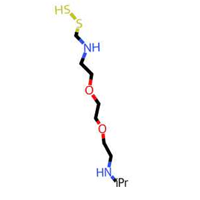 CC(C)NCCOCCOCCNCSS